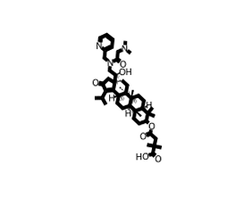 CC(C)C1=C2[C@H]3CC[C@@H]4[C@@]5(C)CCC(OC(=O)CC(C)(C)C(=O)O)C(C)(C)[C@@H]5CC[C@@]4(C)[C@]3(C)CC[C@@]2([C@@H](O)CN(Cc2ccccn2)C(=O)CN(C)C)CC1=O